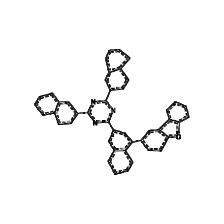 c1ccc2cc(-c3nc(-c4ccc5ccccc5c4)nc(-c4cc(-c5ccc6oc7ccccc7c6c5)c5ccccc5c4)n3)ccc2c1